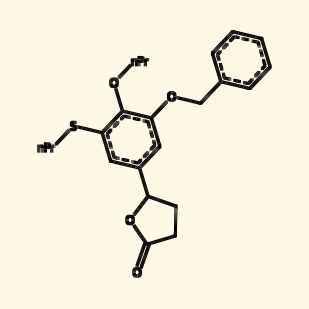 CCCOc1c(OCc2ccccc2)cc(C2CCC(=O)O2)cc1SCCC